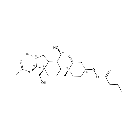 C=C(CCC)OO[C@H]1CC[C@@]2(C)C(=C[C@H](O)C3C4C[C@@H](Br)[C@H](OC(C)=O)[C@@]4(CO)CCC32)C1